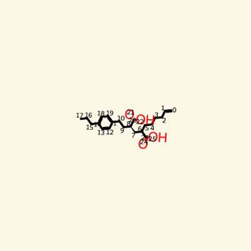 C=CCCCCC(C[C@@H](CCc1ccc(CCC)cc1)C(=O)O)C(=O)O